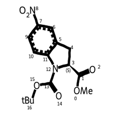 COC(=O)[C@@H]1Cc2cc([N+](=O)[O-])ccc2N1C(=O)OC(C)(C)C